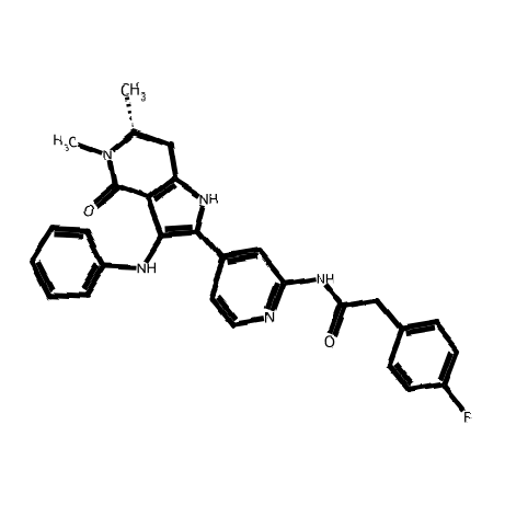 C[C@@H]1Cc2[nH]c(-c3ccnc(NC(=O)Cc4ccc(F)cc4)c3)c(Nc3ccccc3)c2C(=O)N1C